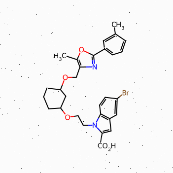 Cc1cccc(-c2nc(COC3CCCC(OCCn4c(C(=O)O)cc5cc(Br)ccc54)C3)c(C)o2)c1